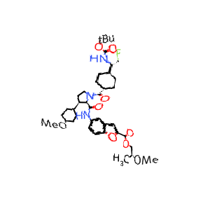 COC1CCC([C@H]2CCN(C(=O)[C@H]3CC[C@H]([C@@H](CF)NC(=O)OC(C)(C)C)CC3)[C@H]2C(=O)Nc2ccc3oc(C(=O)OC[C@@H](C)OC)cc3c2)CC1